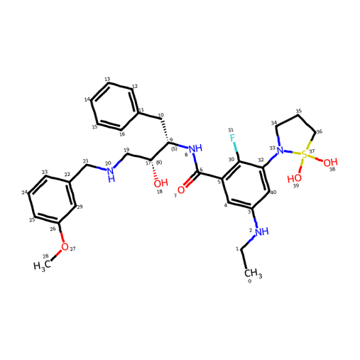 CCNc1cc(C(=O)N[C@@H](Cc2ccccc2)[C@H](O)CNCc2cccc(OC)c2)c(F)c(N2CCCS2(O)O)c1